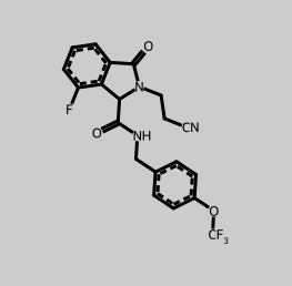 N#CCCN1C(=O)c2cccc(F)c2C1C(=O)NCc1ccc(OC(F)(F)F)cc1